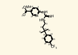 COC(=O)c1ccc(NC(=N)NCCC(C)(C)c2ccc(C(F)(F)F)cc2)nc1